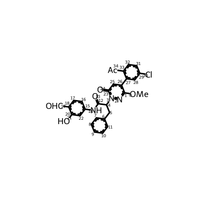 COc1nn(C(Cc2ccccc2)C(=O)Nc2ccc(C=O)c(O)c2)c(=O)cc1-c1cc(Cl)ccc1C(C)=O